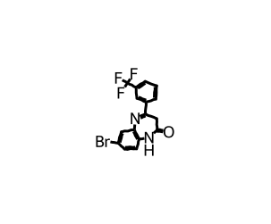 O=C1CC(c2cccc(C(F)(F)F)c2)=Nc2cc(Br)ccc2N1